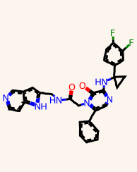 O=C(Cn1c(-c2ccccc2)cnc(NC2(c3ccc(F)c(F)c3)CC2)c1=O)NCc1cc2cnccc2[nH]1